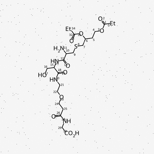 CCC(=O)OCCC(CSCC(N)C(=O)NC(CO)C(=O)NCCOCCC(=O)NCC(=O)O)OC(=O)CC